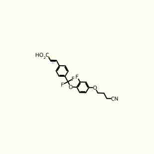 N#CCCCOc1ccc(OC(F)(F)c2ccc(/C=C/C(=O)O)cc2)c(F)c1